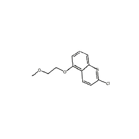 COCCOc1cccc2nc(Cl)ccc12